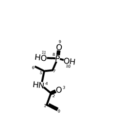 C=CC(=O)NC(C)CP(=O)(O)O